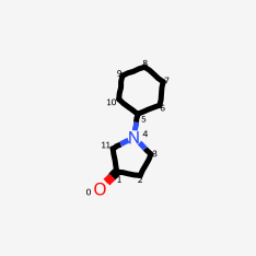 O=C1CCN(C2CCCCC2)C1